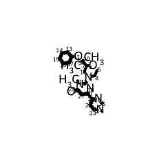 Cn1c(N2CCOC(C(C)(C)Oc3ccccc3)C2)nc(-c2ccncn2)cc1=O